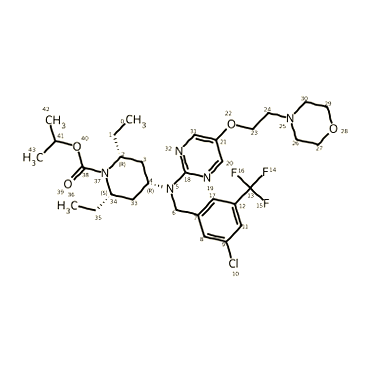 CC[C@@H]1C[C@H](N(Cc2cc(Cl)cc(C(F)(F)F)c2)c2ncc(OCCN3CCOCC3)cn2)C[C@H](CC)N1C(=O)OC(C)C